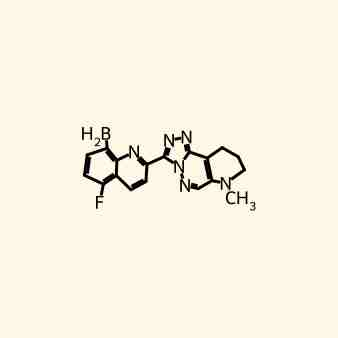 Bc1ccc(F)c2ccc(-c3nnc4c5c(cnn34)N(C)CCC5)nc12